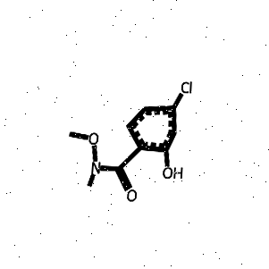 CON(C)C(=O)c1ccc(Cl)cc1O